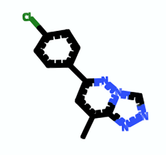 Cc1cc(-c2ccc(Cl)cc2)nn2cnnc12